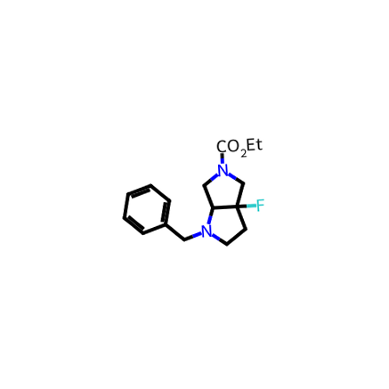 CCOC(=O)N1CC2N(Cc3ccccc3)CCC2(F)C1